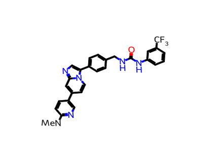 CNc1ccc(-c2ccn3c(-c4ccc(CNC(=O)Nc5cccc(C(F)(F)F)c5)cc4)cnc3c2)cn1